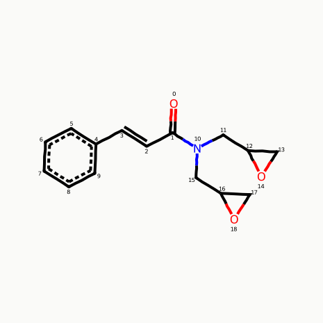 O=C(C=Cc1ccccc1)N(CC1CO1)CC1CO1